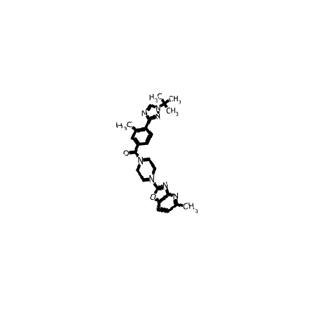 Cc1ccc2oc(N3CCN(C(=O)c4ccc(-c5ncn(C(C)(C)C)n5)c(C)c4)CC3)nc2n1